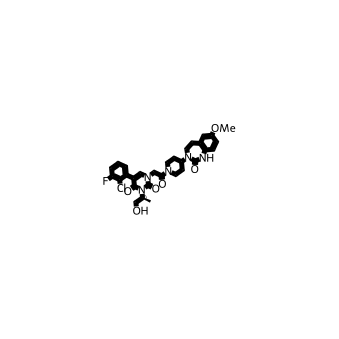 COc1ccc2c(c1)CCN(C1CCN(C(=O)Cn3cc(-c4cccc(F)c4Cl)c(=O)n([C@@H](C)CO)c3=O)CC1)C(=O)N2